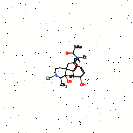 CCCC1(O)C(C)N(CC)CCC1(CC(=O)N(CC)C(=O)NC)c1cc(O)ccc1C